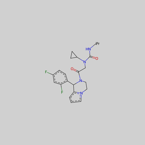 CC(C)NC(=O)N(CC(=O)N1CCn2cccc2C1c1ccc(F)cc1F)C1CC1